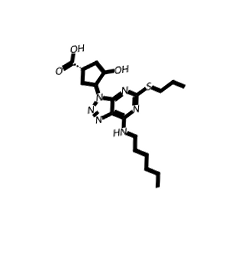 CCCCCCNc1nc(SCCC)nc2c1nnn2C1C[C@H](C(=O)O)CC1O